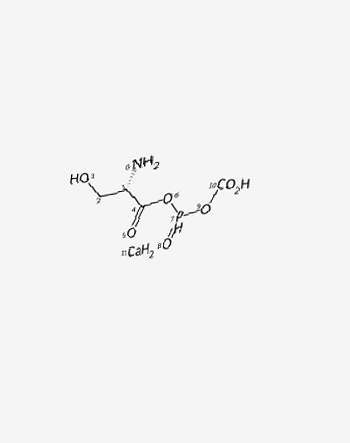 N[C@@H](CO)C(=O)O[PH](=O)OC(=O)O.[CaH2]